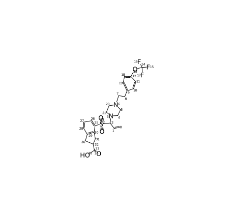 C=CC(N1CCN(CCc2ccc(OC(F)(F)F)cc2)CC1)S(=O)(=O)c1cccc2c1CC(C(=O)O)C2